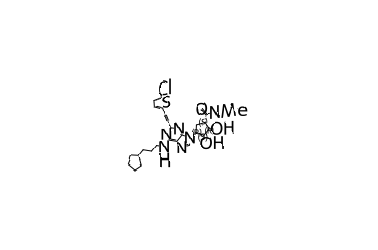 CNC(=O)[C@H]1C[C@@H](n2cnc3c(NCCCC4CCCC4)nc(C#Cc4ccc(Cl)s4)nc32)[C@H](O)[C@@H]1O